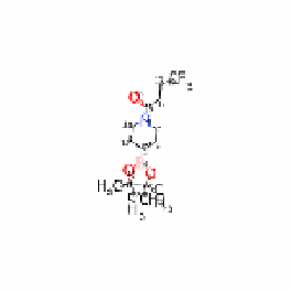 CC1(C)OB(C2=CCN(C(=O)CCC(F)(F)F)CC2)OC1(C)C